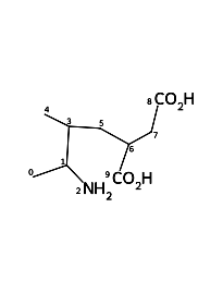 CC(N)C(C)CC(CC(=O)O)C(=O)O